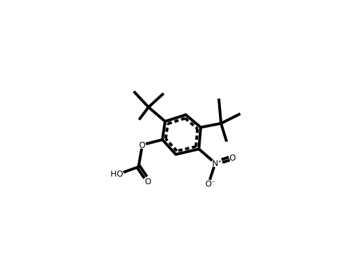 CC(C)(C)c1cc(C(C)(C)C)c([N+](=O)[O-])cc1OC(=O)O